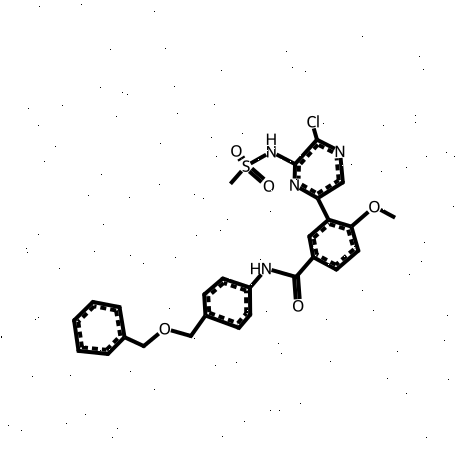 COc1ccc(C(=O)Nc2ccc(COCc3ccccc3)cc2)cc1-c1cnc(Cl)c(NS(C)(=O)=O)n1